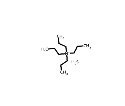 CCC[N+](CCC)(CCC)CCC.S